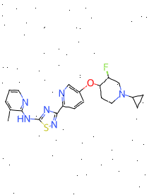 Cc1cccnc1Nc1nc(-c2ccc(OC3CCN(C4CC4)C[C@@H]3F)cn2)ns1